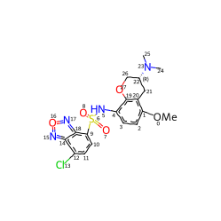 COc1ccc(NS(=O)(=O)c2ccc(Cl)c3nonc23)c2c1C[C@@H](N(C)C)CO2